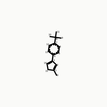 CC1=CC(c2ccc(C(C)(C)C)cc2)=CC1